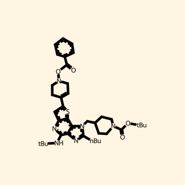 CCCCc1nc2c(NC(C)(C)C)nc3cc(C4=CCN(OC(=O)c5ccccc5)CC4)sc3c2n1CC1CCN(C(=O)OC(C)(C)C)CC1